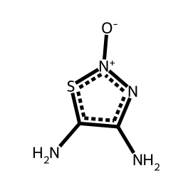 Nc1n[n+]([O-])sc1N